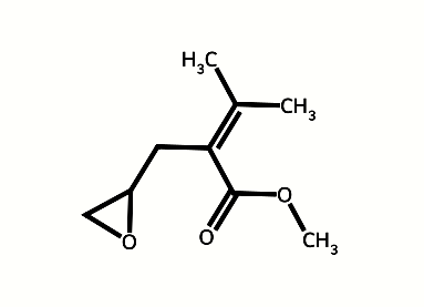 COC(=O)C(CC1CO1)=C(C)C